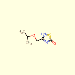 CC(C)OCc1nc(=O)s[nH]1